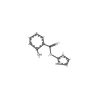 O=C(Oc1ncc[nH]1)c1ccccc1O